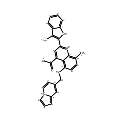 Cc1c(-c2cc(C(=O)O)c3c(OCc4ccn5cccc5c4)ccc(C)c3n2)oc2ccccc12